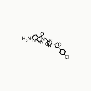 Nc1ccc2c(=O)n(Cc3nc([C@@H]4CO[C@@H](c5ccc(Cl)cc5)C4)no3)ncc2n1